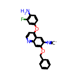 [C-]#[N+]c1cc2c(Oc3ccc(N)c(F)c3)ccnc2cc1OCc1ccccc1